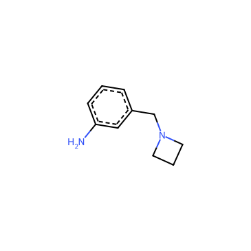 Nc1cccc(CN2CCC2)c1